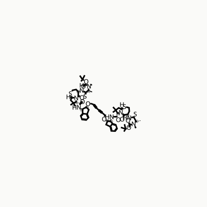 C[C@@H](C(=S)N[C@H]1CCS[C@H]2CC(C)(C)[C@@H](C(=O)N[C@H]3c4ccccc4C[C@H]3OCC#CC#CCO[C@@H]3Cc4ccccc4[C@@H]3NC(=O)[C@H]3N4C(=O)[C@@H](NC(=S)[C@H](C)N(C)C(=O)OC(C)(C)C)CCS[C@H]4CC3(C)C)N2C1=O)N(C)C(=O)OC(C)(C)C